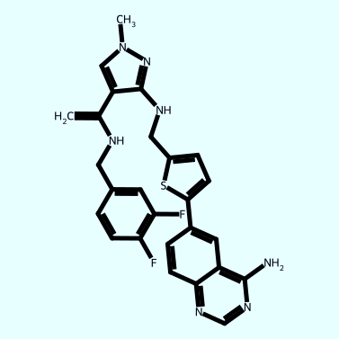 C=C(NCc1ccc(F)c(F)c1)c1cn(C)nc1NCc1ccc(-c2ccc3ncnc(N)c3c2)s1